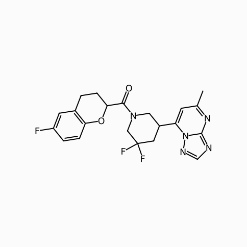 Cc1cc(C2CN(C(=O)C3CCc4cc(F)ccc4O3)CC(F)(F)C2)n2ncnc2n1